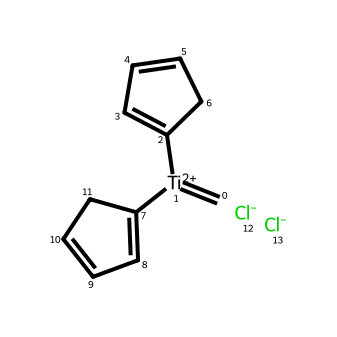 [CH2]=[Ti+2]([C]1=CC=CC1)[C]1=CC=CC1.[Cl-].[Cl-]